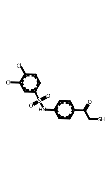 O=C(CS)c1ccc(NS(=O)(=O)c2ccc(Cl)c(Cl)c2)cc1